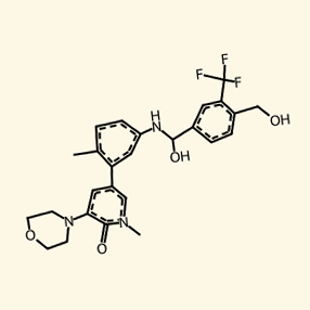 Cc1ccc(NC(O)c2ccc(CO)c(C(F)(F)F)c2)cc1-c1cc(N2CCOCC2)c(=O)n(C)c1